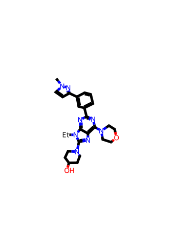 CCn1c(N2CCC(O)CC2)nc2c(N3CCOCC3)nc(-c3cccc(-c4ccn(C)n4)c3)nc21